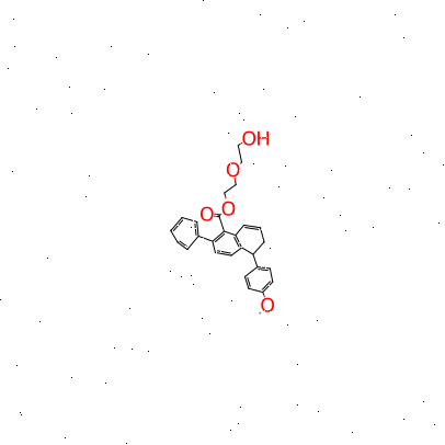 COc1ccc(C2CC=Cc3c2ccc(-c2ccccc2)c3C(=O)OCCOCCO)cc1